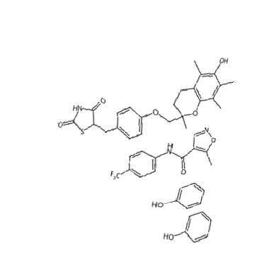 Cc1c(C)c2c(c(C)c1O)CCC(C)(COc1ccc(CC3SC(=O)NC3=O)cc1)O2.Cc1oncc1C(=O)Nc1ccc(C(F)(F)F)cc1.Oc1ccccc1.Oc1ccccc1